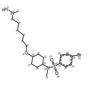 CCCN(C)CCCCCCOC1CCC(N(C)S(=O)(=O)c2ccc(Br)cc2)CC1